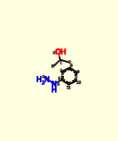 CC(C)O.NNc1ccccc1